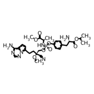 COC(=O)[C@H](C)NP(=O)(OC[C@](C#N)(CCc1ccc2c(N)ncnn12)OC)Oc1ccc(C[C@H](N)C(=O)OC(C)C)cc1